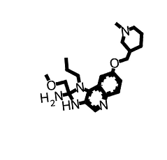 CCCN1c2c(cnc3ccc(OCC4CCCN(C)C4)cc23)NC1(N)COC